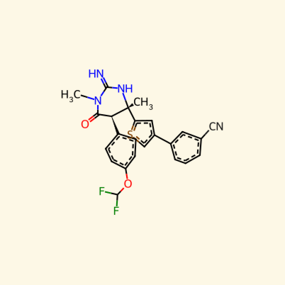 CN1C(=N)N[C@](C)(c2cc(-c3cccc(C#N)c3)cs2)[C@@H](c2ccc(OC(F)F)cc2)C1=O